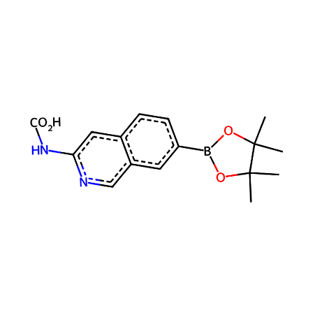 CC1(C)OB(c2ccc3cc(NC(=O)O)ncc3c2)OC1(C)C